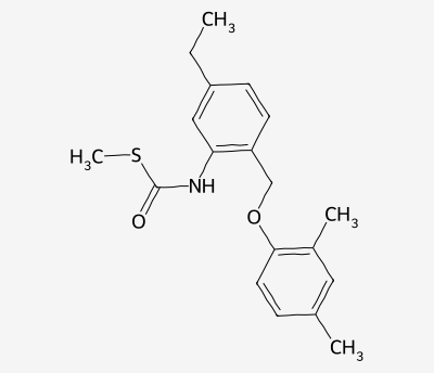 CCc1ccc(COc2ccc(C)cc2C)c(NC(=O)SC)c1